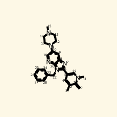 C=C1C(C)=CC(c2nc3cc(N4CCN(C)CC4)cnc3n2Cc2ccccc2)=CN1C